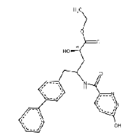 CCOC(=O)[C@H](O)CC(Cc1ccc(-c2ccccc2)cc1)NC(=O)c1ccc(O)nn1